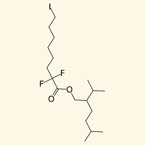 CC(C)CCC(COC(=O)C(F)(F)CCCCCCI)C(C)C